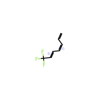 C=C/C=C\C=C\C(F)(F)F